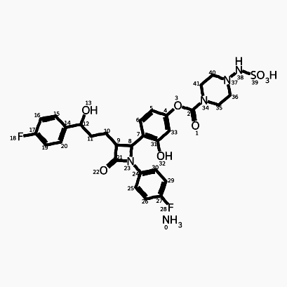 N.O=C(Oc1ccc(C2C(CCC(O)c3ccc(F)cc3)C(=O)N2c2ccc(F)cc2)c(O)c1)N1CCN(NS(=O)(=O)O)CC1